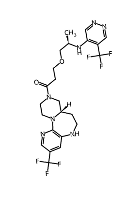 C[C@H](COCCC(=O)N1CCN2c3ncc(C(F)(F)F)cc3NCC[C@H]2C1)Nc1cnncc1C(F)(F)F